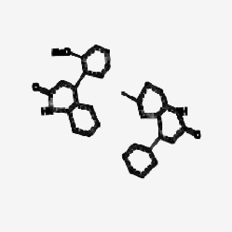 COc1ccccc1-c1cc(=O)[nH]c2ccccc12.Cc1ccc2[nH]c(=O)cc(-c3ccccc3)c2c1